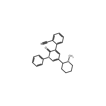 CN1CCCCC1c1cc(-c2ccccc2C#N)c(=O)n(-c2ccccc2)c1